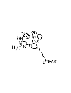 CNC(=O)CCCCCN1CCN(c2cc(Nc3ncc(C(=O)Nc4c(C)cccc4Cl)s3)nc(C)n2)CC1